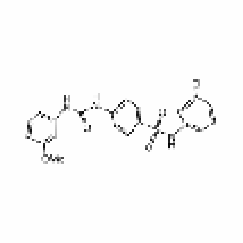 COc1cccc(NC(=O)Nc2ccc(S(=O)(=O)Nc3cccc(Cl)c3)cc2)c1